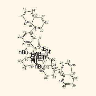 CCC[CH2][Hf]([CH2]CCC)([CH]1C(CC)=Cc2c(-c3cccc4ccccc34)cccc21)[Si]1([Hf]([CH2]CCC)([CH2]CCC)[CH]2C(CC)=Cc3c(-c4cccc5ccccc45)cccc32)CCCC1